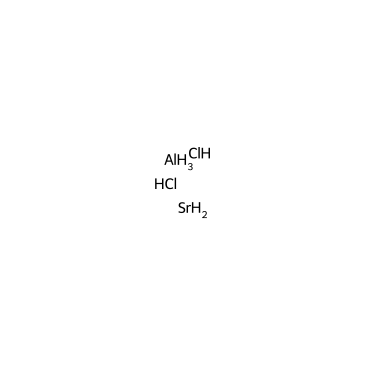 Cl.Cl.[AlH3].[SrH2]